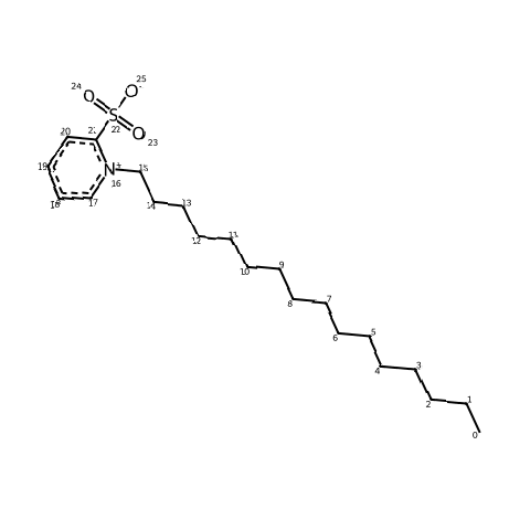 CCCCCCCCCCCCCCCC[n+]1ccccc1S(=O)(=O)[O-]